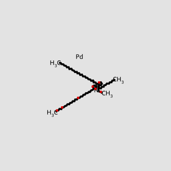 CCCCCCCCCCCCCCCCCCCCCCCCCC=CCCc1ccccc1N=C(CCCC)C(CCCCCCCCCCCC)=Nc1ccccc1CCC=CCCCCCCCCCCCCCCCCCCCCCCCCC.[Pd]